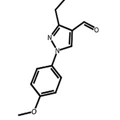 CCc1nn(-c2ccc(OC)cc2)cc1C=O